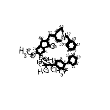 CC(C)(C(=O)O)c1ccc(-c2ccccc2)c(F)c1.COc1cc2c(cc1OC)C(=O)C(CC1CCN(Cc3ccccc3)CC1)C2